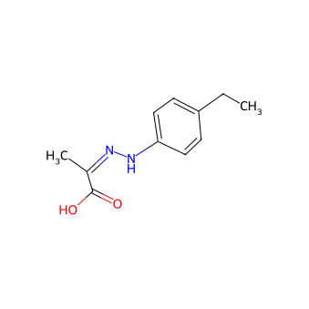 CCc1ccc(NN=C(C)C(=O)O)cc1